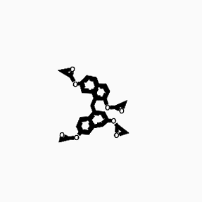 c1cc2c(Cc3c(OC4CO4)ccc4ccc(OC5CO5)cc34)cc(OC3CO3)cc2cc1OC1CO1